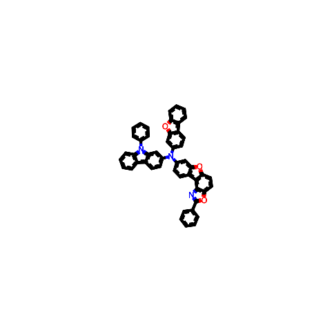 c1ccc(-c2nc3c(ccc4oc5cc(N(c6ccc7c(c6)oc6ccccc67)c6ccc7c8ccccc8n(-c8ccccc8)c7c6)ccc5c43)o2)cc1